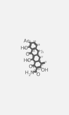 C=C1C(O)=C(C(N)=O)C(=O)C2C(O)=C3C(=O)c4c(ccc(C(C)=O)c4O)[C@H](C)C3CC12